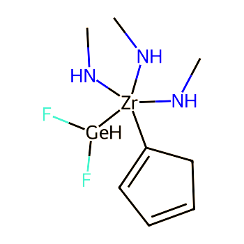 C[NH][Zr]([NH]C)([NH]C)([C]1=CC=CC1)[GeH]([F])[F]